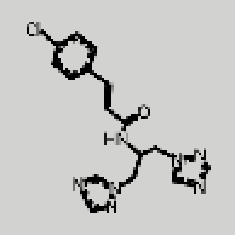 O=C(C=Cc1ccc(Cl)cc1)NC(Cn1cncn1)Cn1cncn1